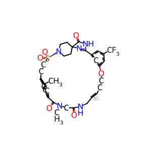 Cc1cc2ccc1CCS(=O)(=O)N1CCC3(CC1)N=C(NC3=O)c1cc(cc(C(F)(F)F)c1)OCC/C=C/CNC(=O)CN(C)C2=O